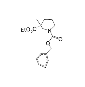 CCOC(=O)[C@]1(C)CCCN(C(=O)OCc2ccccc2)C1